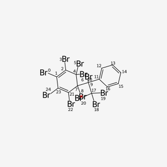 BrC1=C(Br)C(Br)(Br)C(Br)(C(Br)(c2ccccc2)C(Br)(Br)Br)C(Br)=C1Br